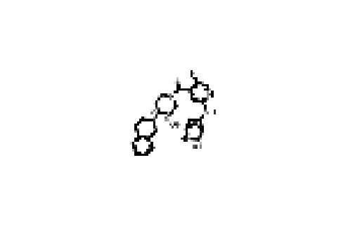 Cl.O=C(c1cc(NC2CC3CC2CN3)ncc1F)N1CC[C@H](N2CCc3ccccc3C2)[C@@H](O)C1